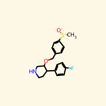 C[S+]([O-])c1ccc(COC2CNCCC2c2ccc(F)cc2)cc1